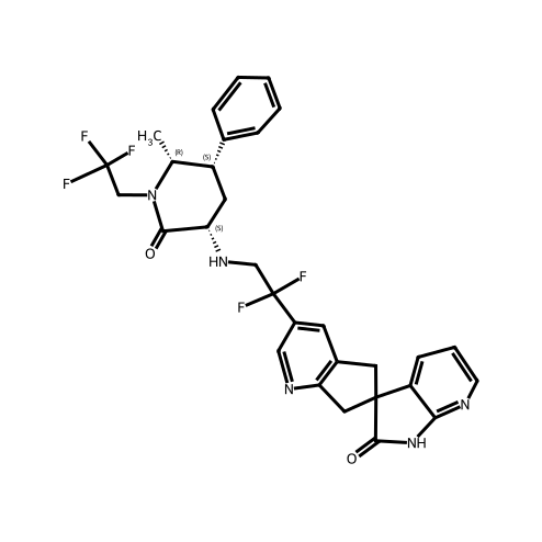 C[C@@H]1[C@H](c2ccccc2)C[C@H](NCC(F)(F)c2cnc3c(c2)CC2(C3)C(=O)Nc3ncccc32)C(=O)N1CC(F)(F)F